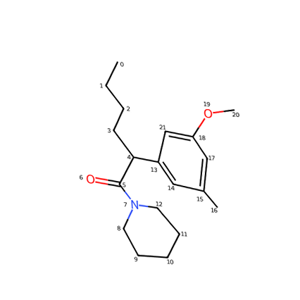 CCCCC(C(=O)N1CCCCC1)c1cc(C)cc(OC)c1